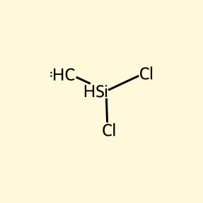 [CH][SiH](Cl)Cl